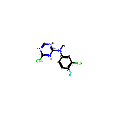 CN(c1ccc(F)c(Cl)c1)c1ncnc(Cl)n1